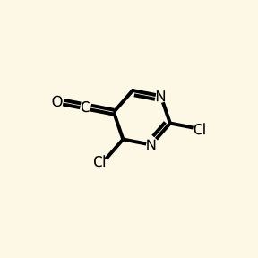 O=C=C1C=NC(Cl)=NC1Cl